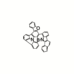 c1ccc2c(c1)ccc1c3cccc4c3n(c21)B1c2cccc3c5cccc6c7c8c(oc9ccccc98)c-4c1c7n(c23)c56